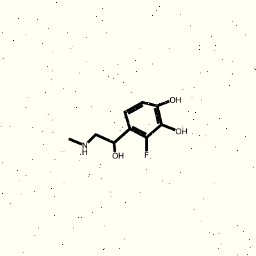 CNCC(O)c1ccc(O)c(O)c1F